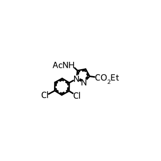 CCOC(=O)c1cc(NC(C)=O)n(-c2ccc(Cl)cc2Cl)n1